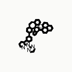 C1=Cc2ccc(-c3ccc4c(c3)c3cccnc3n4-c3ncccn3)cc2C2(c3ccccc31)c1ccccc1-c1c2cc2ccc3cccc4ccc1c2c34